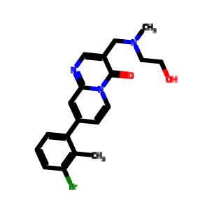 Cc1c(Br)cccc1-c1ccn2c(=O)c(CN(C)CCO)cnc2c1